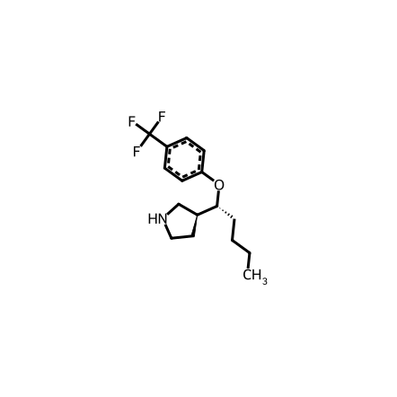 CCCC[C@@H](Oc1ccc(C(F)(F)F)cc1)[C@H]1CCNC1